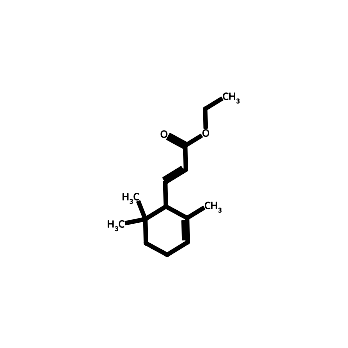 CCOC(=O)C=CC1C(C)=CCCC1(C)C